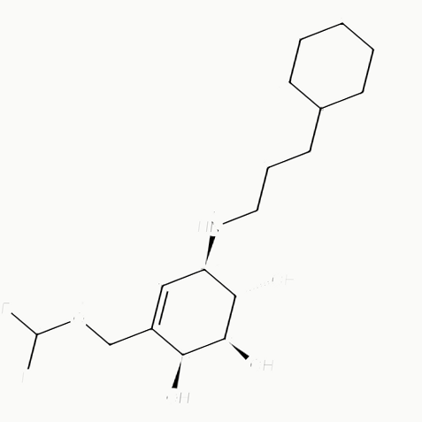 O[C@@H]1[C@@H](O)[C@@H](O)C(COC(F)F)=C[C@H]1NCCCC1CCCCC1